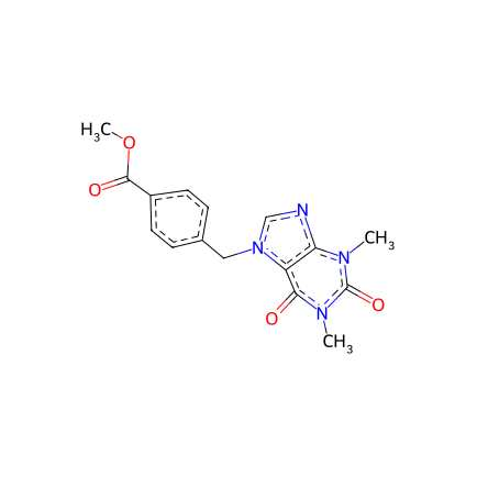 COC(=O)c1ccc(Cn2cnc3c2c(=O)n(C)c(=O)n3C)cc1